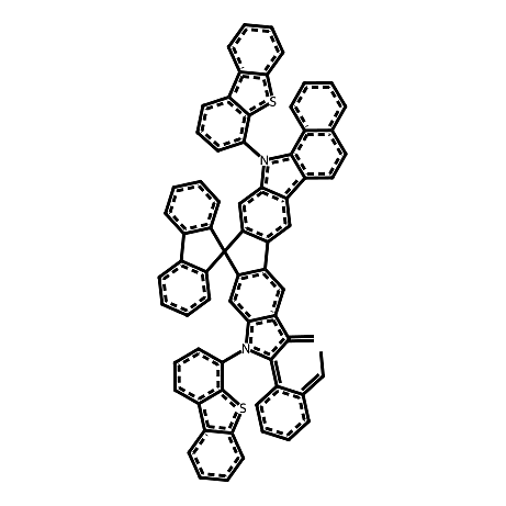 C=c1/c(=c2/cccc/c2=C/C)n(-c2cccc3c2sc2ccccc23)c2cc3c(cc12)-c1cc2c4ccc5ccccc5c4n(-c4cccc5c4sc4ccccc45)c2cc1C31c2ccccc2-c2ccccc21